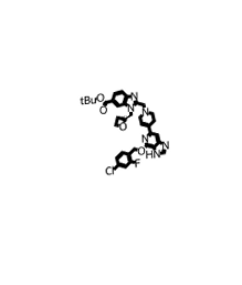 CC(C)(C)OC(=O)c1ccc2nc(CN3CC=C(c4cc5nc[nH]c5c(OCc5ccc(Cl)cc5F)n4)CC3)n(C[C@@H]3CCO3)c2c1